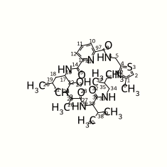 Cc1csc(CNC(=O)c2cccc(C(=O)NC(CC(C)C)C(O)CC(C)C(=O)NC(C(=O)NCC(C)C)C(C)C)n2)n1